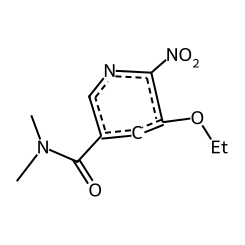 CCOc1cc(C(=O)N(C)C)cnc1[N+](=O)[O-]